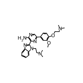 COc1cc(-c2cnc(N)c(-c3nc4ccccc4n3CCN(C)C)n2)ccc1OCCN(C)C